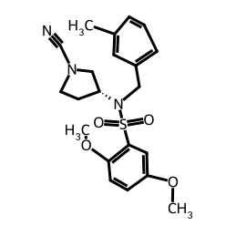 COc1ccc(OC)c(S(=O)(=O)N(Cc2cccc(C)c2)[C@@H]2CCN(C#N)C2)c1